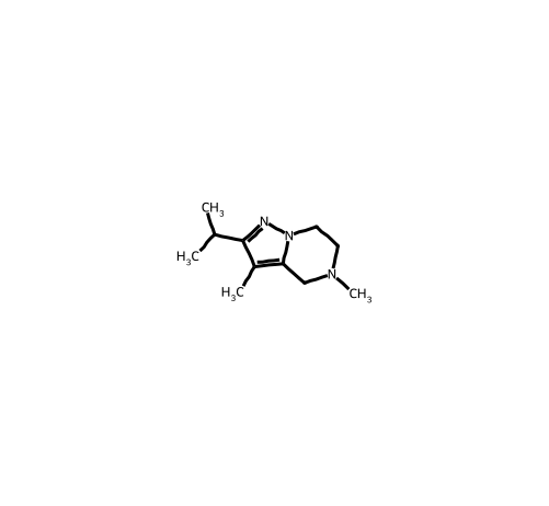 Cc1c(C(C)C)nn2c1CN(C)CC2